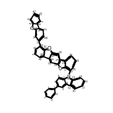 c1ccc(-c2ccc3c(c2)c2ccccc2n3-c2cccc3c2oc2cc4c(cc23)oc2c(-c3ccc5c(c3)oc3ccccc35)cccc24)cc1